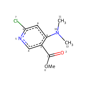 COC(=O)c1cnc(Cl)cc1N(C)C